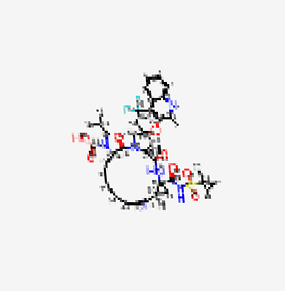 Cc1nc2ccccc2c2c1O[C@@]1(C[C@H]3C(=O)N[C@]4(C(=O)NS(=O)(=O)C5(C)CC5)C[C@H]4/C=C\CCCCC[C@H](N(CC(C)C)C(=O)O)C(=O)N3C1)CC2(F)F